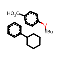 CCCCOc1ccc(C(=O)O)cc1.c1ccc(C2CCCCC2)cc1